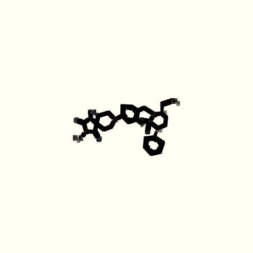 C=C[C@H]1CC[C@H](c2ccccc2)S(=O)(=O)N1Cc1ccc(N2CCC3(CC2)C(=O)N(C)C(=O)N3C)cc1F